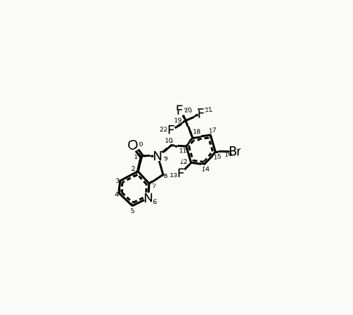 O=C1c2cccnc2CN1Cc1c(F)cc(Br)cc1C(F)(F)F